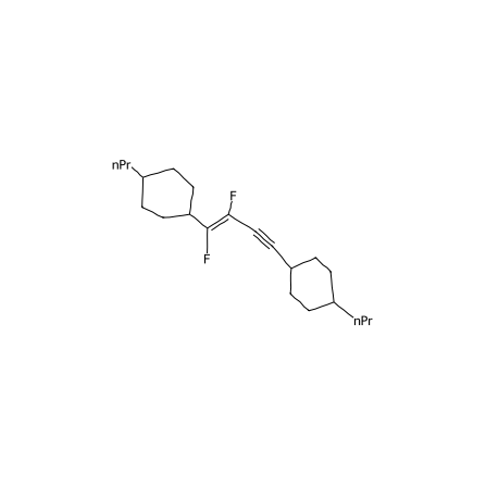 CCCC1CCC(C#C/C(F)=C(\F)C2CCC(CCC)CC2)CC1